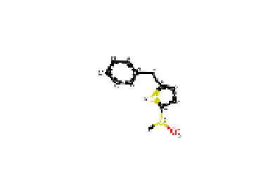 C[S+]([O-])c1ccc(Cc2ccccc2)s1